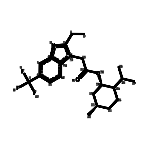 CCc1nc2cc(C(F)(F)F)ccc2n1CC(=O)O[C@@H]1C[C@H](C)CCC1C(C)C